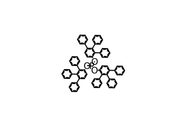 c1ccc(-c2ccc(OP(Oc3ccc(-c4ccccc4)c(-c4ccccc4)c3-c3ccccc3)Oc3ccc(-c4ccccc4)c(-c4ccccc4)c3-c3ccccc3)c(-c3ccccc3)c2-c2ccccc2)cc1